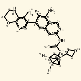 Cc1c(-c2cc3cc(NC(=O)O[C@@]45C6[C@H]4[C@H]5CN6C4COC4)ncc3c(N)c2F)cnc2c1NCCO2